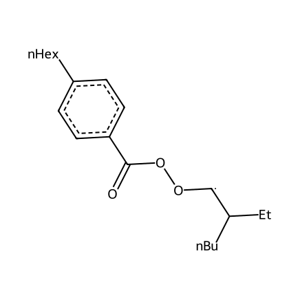 CCCCCCc1ccc(C(=O)OO[CH]C(CC)CCCC)cc1